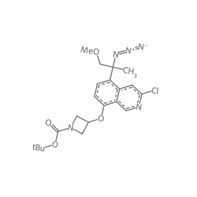 COCC(C)(N=[N+]=[N-])c1ccc(OC2CN(C(=O)OC(C)(C)C)C2)c2cnc(Cl)cc12